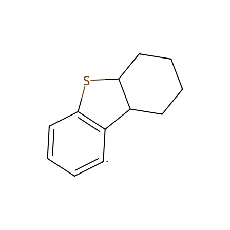 [c]1cccc2c1C1CCCCC1S2